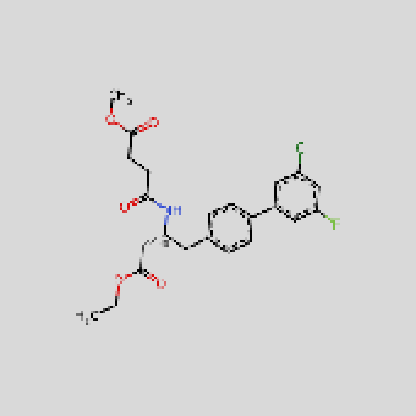 CCOC(=O)C[C@@H](Cc1ccc(-c2cc(F)cc(Cl)c2)cc1)NC(=O)CCC(=O)OC